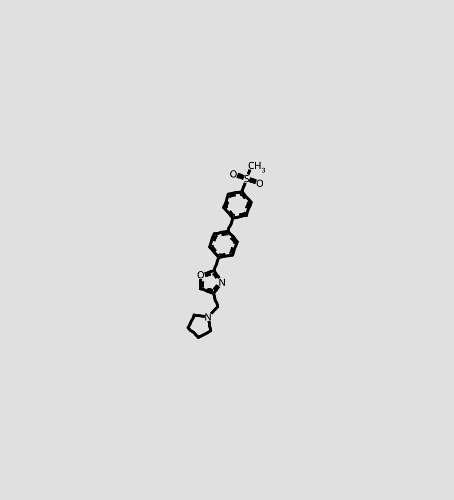 CS(=O)(=O)c1ccc(-c2ccc(-c3nc(CN4CCCC4)co3)cc2)cc1